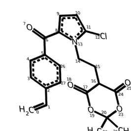 C=Cc1ccc(C(=O)c2ccc(Cl)n2CCC2C(=O)OC(C)(C)OC2=O)cc1